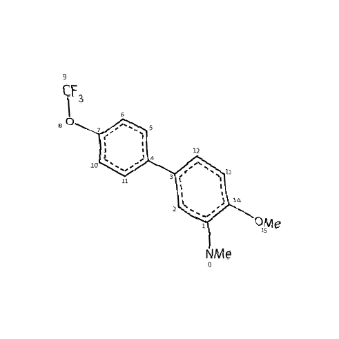 CNc1cc(-c2ccc(OC(F)(F)F)cc2)ccc1OC